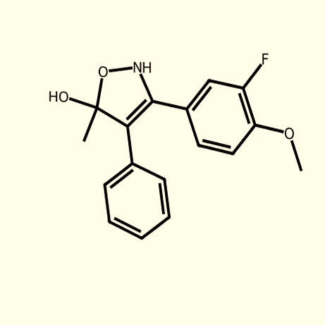 COc1ccc(C2=C(c3ccccc3)C(C)(O)ON2)cc1F